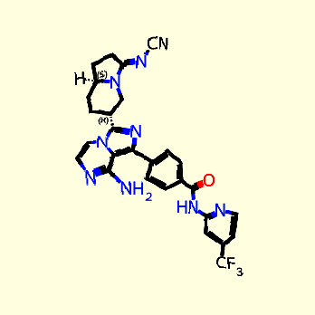 N#CN=C1CC[C@@H]2CC[C@@H](c3nc(-c4ccc(C(=O)Nc5cc(C(F)(F)F)ccn5)cc4)c4c(N)nccn34)CN12